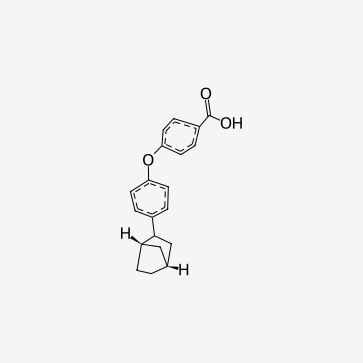 O=C(O)c1ccc(Oc2ccc(C3C[C@@H]4CC[C@H]3C4)cc2)cc1